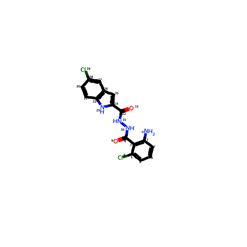 Nc1cccc(Cl)c1C(=O)NNC(=O)c1cc2cc(Cl)ccc2[nH]1